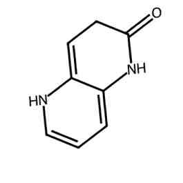 O=C1CC=C2NC=CC=C2N1